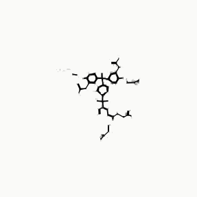 C=C/C(=C\C=C(/CCC(=C)C)OCCC1CO1)C(C)(C)c1ccc(C(C)(c2ccc(OCCOC)c(CC(=C)C)c2)c2ccc(OCC3CO3)c(CC(=C)C)c2)cc1